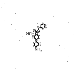 Cl.Nc1ccc(N2CCN(C(=O)OCc3ccccc3)CC2)cc1